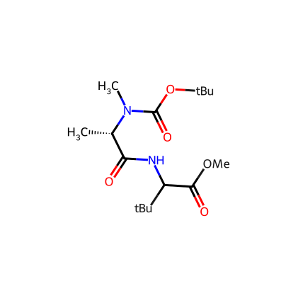 COC(=O)C(NC(=O)[C@H](C)N(C)C(=O)OC(C)(C)C)C(C)(C)C